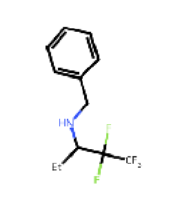 CCC(NCc1ccccc1)C(F)(F)C(F)(F)F